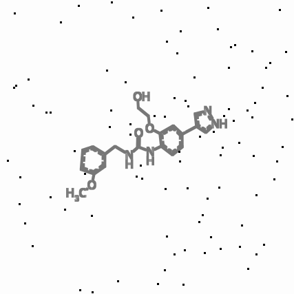 COc1cccc(CNC(=O)Nc2ccc(-c3cn[nH]c3)cc2OCCO)c1